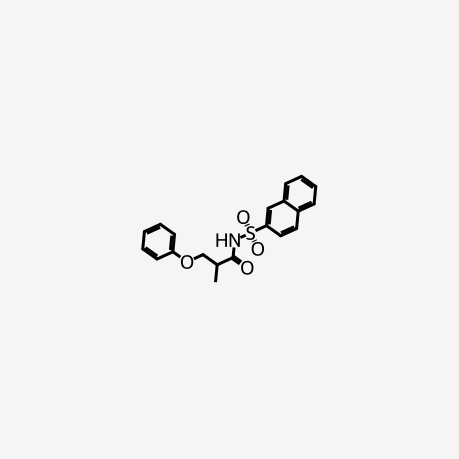 CC(COc1ccccc1)C(=O)NS(=O)(=O)c1ccc2ccccc2c1